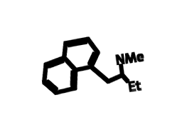 CCC(Cc1cccc2ccccc12)NC